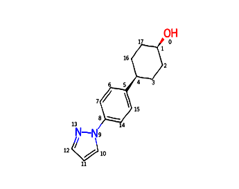 O[C@H]1CC[C@@H](c2ccc(-n3cccn3)cc2)CC1